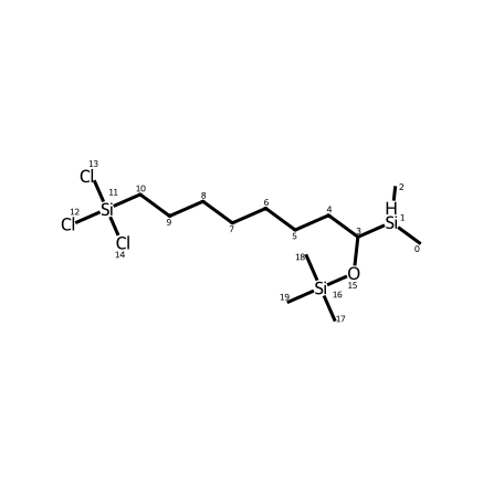 C[SiH](C)C(CCCCCCC[Si](Cl)(Cl)Cl)O[Si](C)(C)C